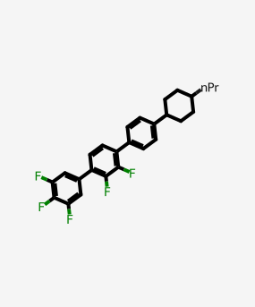 CCCC1CCC(c2ccc(-c3ccc(-c4cc(F)c(F)c(F)c4)c(F)c3F)cc2)CC1